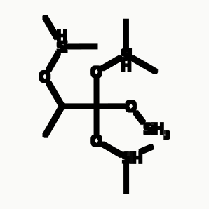 CC(O[SiH](C)C)C(O[SiH3])(O[SiH](C)C)O[SiH](C)C